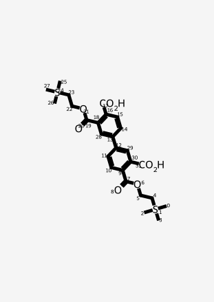 CS(C)(C)CCOC(=O)c1ccc(-c2ccc(C(=O)O)c(C(=O)OCCS(C)(C)C)c2)cc1C(=O)O